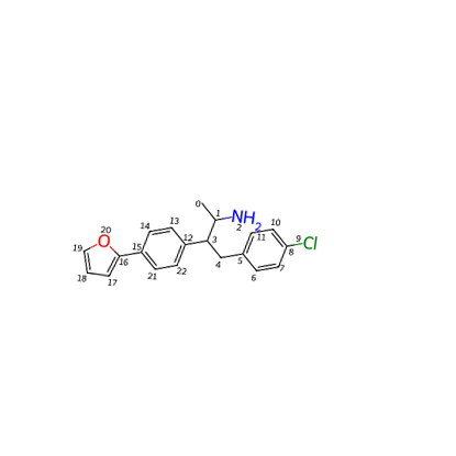 CC(N)C(Cc1ccc(Cl)cc1)c1ccc(-c2ccco2)cc1